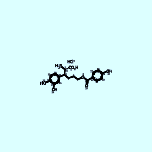 Cl.N[C@H](C(=O)O)C(CCCOC(=O)c1ccc(O)cc1)c1ccc(O)c(O)c1